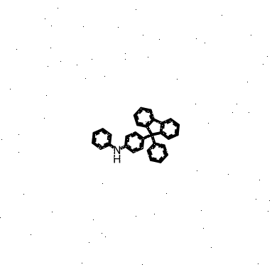 c1ccc(Nc2ccc(C3(c4ccccc4)c4ccccc4-c4ccccc43)cc2)cc1